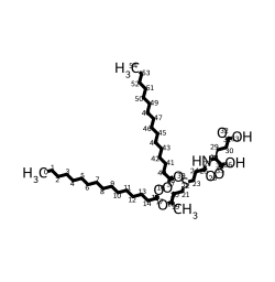 CCCCCCCCCCCCCCCC(=O)OC(C)C(CSCCC(=O)N[C@@H](CCC(=O)O)C(=O)O)OC(=O)CCCCCCCCCCCCCCC